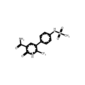 CS(=O)(=O)Nc1ccc(-c2cc(C(N)=O)c(=O)[nH]c2C(F)(F)F)cc1